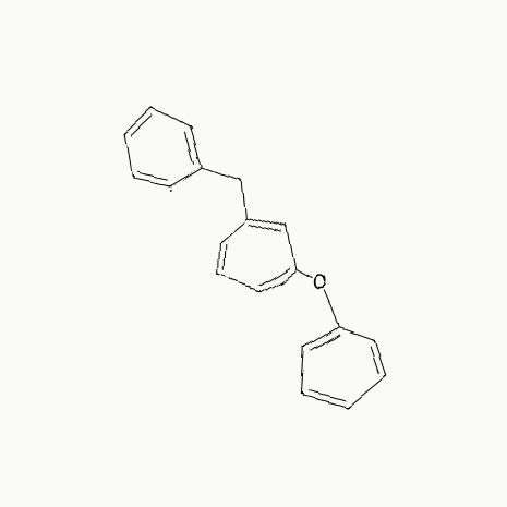 [c]1ccccc1Cc1cccc(Oc2ccccc2)c1